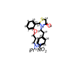 CC(C)NCCCOc1ccccc1C1SCC(=O)N1CCc1ccc([N+](=O)[O-])cc1